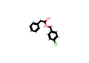 [O]C(Cc1ccccc1)OCc1ccc(Cl)cc1